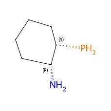 N[C@@H]1CCCC[C@@H]1P